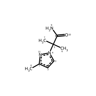 Cc1ccn(C(C)(C)C(N)=O)n1